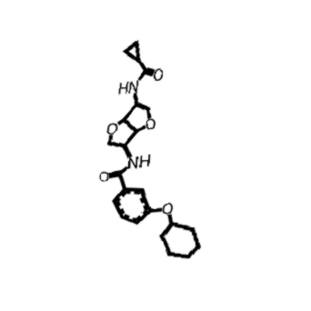 O=C(NC1COC2C(NC(=O)C3CC3)COC12)c1cccc(OC2CCCCC2)c1